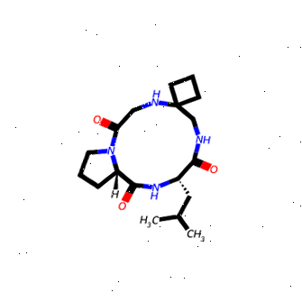 CC(C)C[C@@H]1NC(=O)[C@@H]2CCCN2C(=O)CNC2(CCC2)CNC1=O